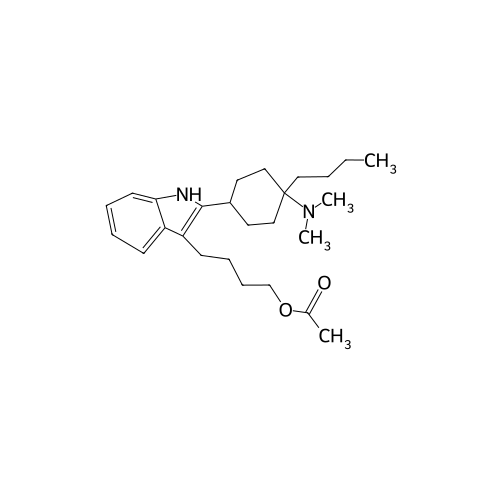 CCCCC1(N(C)C)CCC(c2[nH]c3ccccc3c2CCCCOC(C)=O)CC1